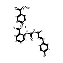 COC(=O)c1ccc(NC(=O)c2ccccc2OC(=O)OC(C)/C=C/c2ccc(C)cc2)cc1